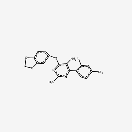 Cc1nc(Oc2ccc3c(c2)OCO3)c(N)c(-c2ccc(C(F)(F)F)cc2F)n1